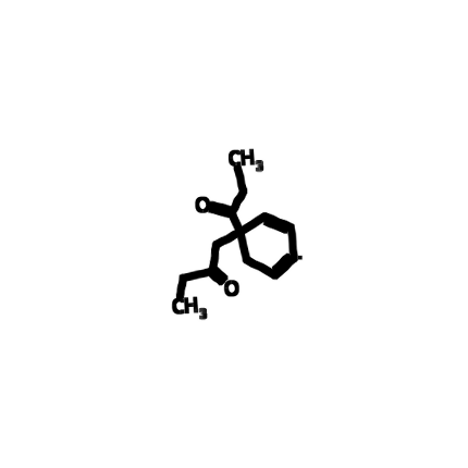 CCC(=O)CC1(C(=O)CC)C=C[C]=CC1